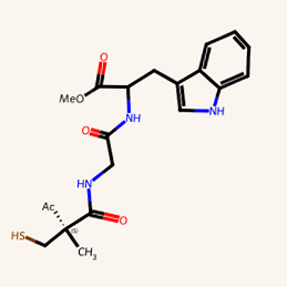 COC(=O)C(Cc1c[nH]c2ccccc12)NC(=O)CNC(=O)[C@@](C)(CS)C(C)=O